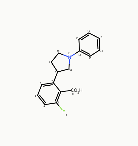 O=C(O)c1c(F)cccc1C1CCN(c2ccccc2)C1